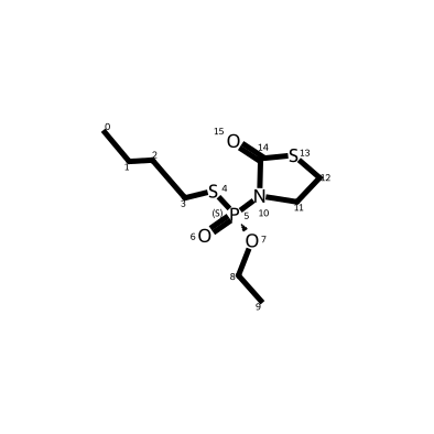 CCCCS[P@@](=O)(OCC)N1CCSC1=O